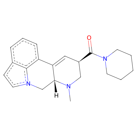 CN1C[C@H](C(=O)N2CCCCC2)C=C2c3cccc4ccn(c34)C[C@H]21